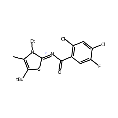 CCn1c(C)c(C(C)(C)C)s/c1=N\C(=O)c1cc(F)c(Cl)cc1Cl